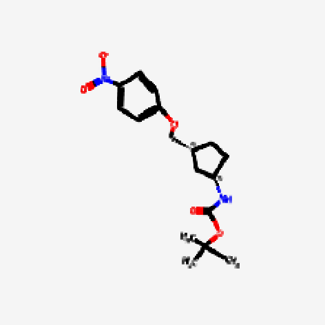 CC(C)(C)OC(=O)N[C@H]1CC[C@@H](COc2ccc([N+](=O)[O-])cc2)C1